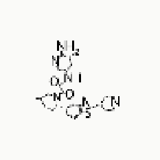 Cc1cc(NC(=O)C(=O)N2C[C@H](C)CC[C@H]2c2ccc3sc(C4CCN(C)CC4)nc3c2)cnc1N